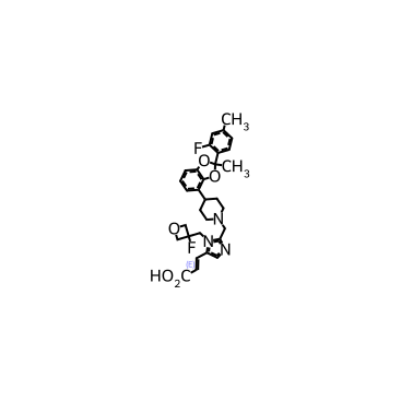 Cc1ccc(C2(C)Oc3cccc(C4CCN(Cc5ncc(/C=C/C(=O)O)n5CC5(F)COC5)CC4)c3O2)c(F)c1